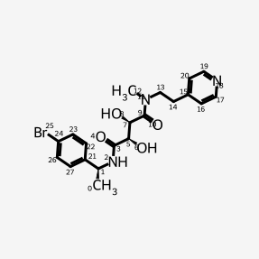 C[C@H](NC(=O)[C@H](O)[C@@H](O)C(=O)N(C)CCc1ccncc1)c1ccc(Br)cc1